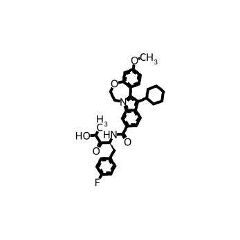 COc1ccc2c(c1)OCCn1c-2c(C2CCCCC2)c2ccc(C(=O)N[C@@H](Cc3ccc(F)cc3)C(=O)C(C)O)cc21